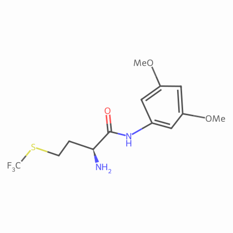 COc1cc(NC(=O)[C@@H](N)CCSC(F)(F)F)cc(OC)c1